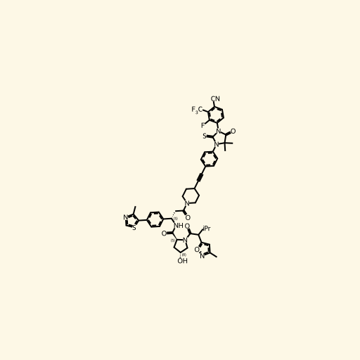 Cc1cc(C(C(=O)N2C[C@H](O)C[C@H]2C(=O)N[C@@H](CC(=O)N2CCC(C#Cc3ccc(N4C(=S)N(c5ccc(C#N)c(C(F)(F)F)c5F)C(=O)C4(C)C)cc3)CC2)c2ccc(-c3scnc3C)cc2)C(C)C)on1